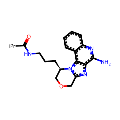 CC(C)C(=O)NCCC[C@@H]1COCc2nc3c(N)nc4ccccc4c3n21